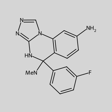 CNC1(c2cccc(F)c2)Nc2nncn2-c2cc(N)ccc21